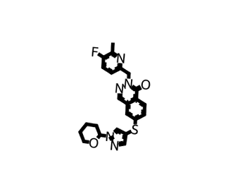 Cc1nc(Cn2ncc3cc(Sc4cnn(C5CCCCO5)c4)ccc3c2=O)ccc1F